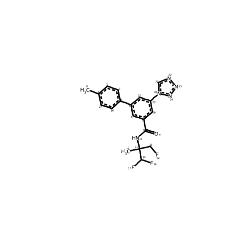 Cc1ccc(-c2cc(C(=O)NC(C)(CF)C(F)F)cc(-n3cnnn3)c2)cc1